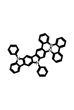 c1ccc(-n2c3ccccc3c3cc4c(cc32)c2cc3c(cc2n4-c2ccccc2)N2B(c4ccccc4-c4ccccc42)c2ccccc2-3)cc1